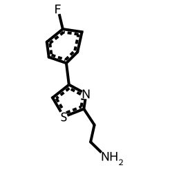 NCCc1nc(-c2ccc(F)cc2)cs1